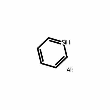 [Al].c1cc[siH]cc1